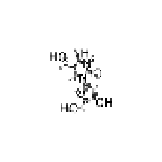 Nc1nc(=O)n([C@H]2C[C@@H](O)[C@@H](CO)O2)cc1CO